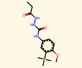 CCC(=O)NNC(=O)Nc1ccc(OC)[c]([Sn]([CH3])([CH3])[CH3])c1